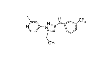 Cc1cc(-n2nc(Nc3cccc(C(F)(F)F)c3)cc2CO)ccn1